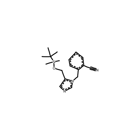 CC(C)(C)[Si](C)(C)OCc1cncn1Cc1ccccc1C#N